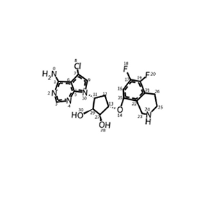 Nc1ncnc2c1c(Cl)cn2[C@@H]1C[C@H](Oc2cc(F)c(F)c3c2CNCC3)[C@@H](O)[C@H]1O